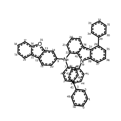 c1ccc(-c2ccc(N(c3ccc4c(c3)oc3ccccc34)c3cccc4c5c(-c6ccccc6)cccc5n(-c5ccccc5)c34)cc2)cc1